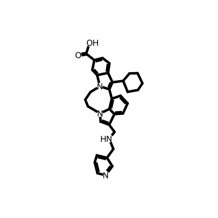 O=C(O)c1ccc2c(C3CCCCC3)c3n(c2c1)CCCn1cc(CNCc2cccnc2)c2cccc-3c21